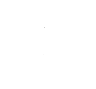 CCC(=O)NCc1ccc(-c2ccccc2)cc1-c1ccc(Cn2c(CC)nc3c(C)cc(C)nc32)cc1